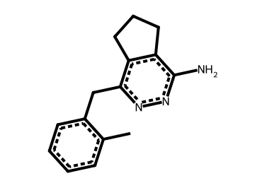 Cc1ccccc1Cc1nnc(N)c2c1CCC2